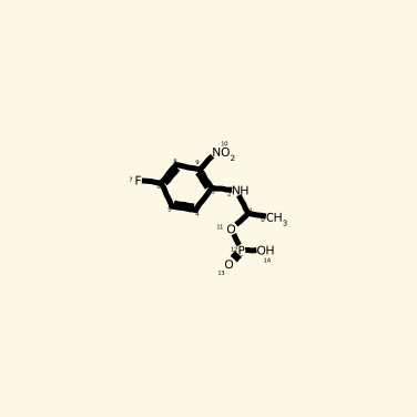 CC(Nc1ccc(F)cc1[N+](=O)[O-])O[P](=O)O